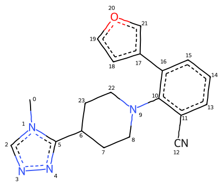 Cn1cnnc1C1CCN(c2c(C#N)cccc2-c2ccoc2)CC1